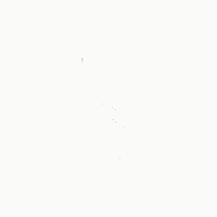 C=CCCCC(=C)NN1Cc2ccccc2C1=C